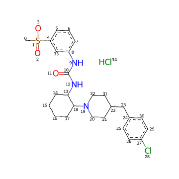 CS(=O)(=O)c1cccc(NC(=O)NC2CCCCC2N2CCC(Cc3ccc(Cl)cc3)CC2)c1.Cl